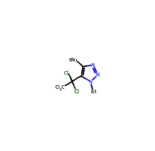 CCn1nnc(C(C)(C)C)c1C(Cl)(Cl)C(Cl)(Cl)Cl